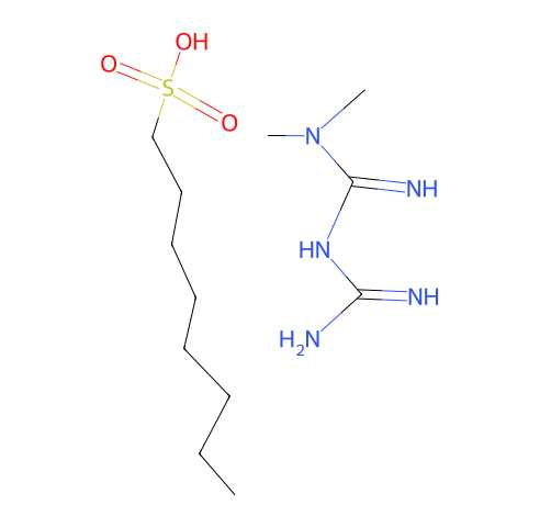 CCCCCCCCS(=O)(=O)O.CN(C)C(=N)NC(=N)N